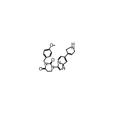 COc1ccc(CN2C(=O)CCN(c3cnc4cc(C5=CCNCC5)ccn34)C2=O)cc1